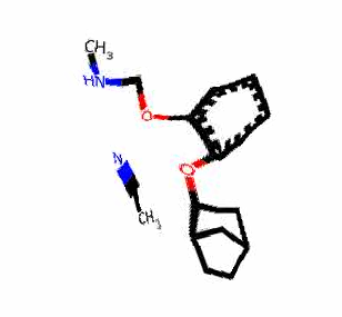 CC#N.CNCOc1ccccc1OC1CC2CCC1C2